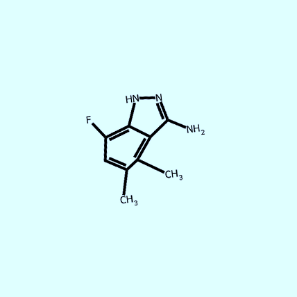 Cc1cc(F)c2[nH]nc(N)c2c1C